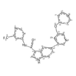 O=C(Nc1ccnc(C(F)(F)F)c1)c1n[nH]c2ccc(-c3cncc(Oc4ccccc4)c3)cc12